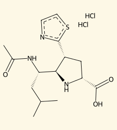 CC(=O)N[C@@H](CC(C)C)[C@@H]1N[C@@H](C(=O)O)C[C@H]1c1nccs1.Cl.Cl